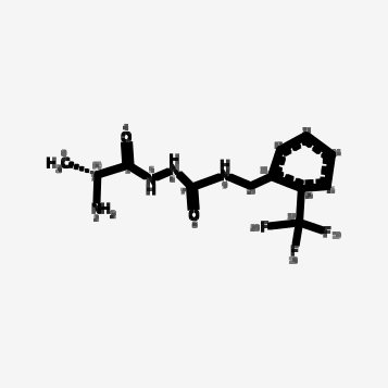 C[C@@H](N)C(=O)NNC(=O)NCc1ccccc1C(F)(F)F